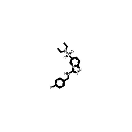 CCN(CC)S(=O)(=O)c1ccc2nnc(NCc3ccc(F)cc3)n2c1